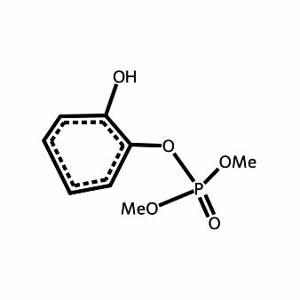 COP(=O)(OC)Oc1ccccc1O